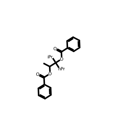 CCCC(OC(=O)c1ccccc1)(C(C)C)C(C)OC(=O)c1ccccc1